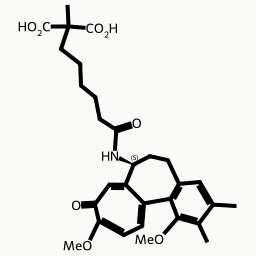 COc1c(C)c(C)cc2c1-c1ccc(OC)c(=O)cc1[C@@H](NC(=O)CCCCCC(C)(C(=O)O)C(=O)O)CC2